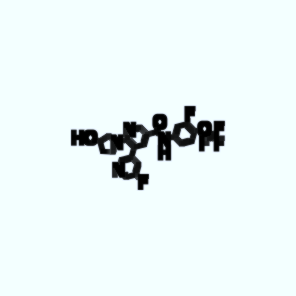 O=C(Nc1ccc(OC(F)(F)F)c(F)c1)c1cnc(N2CCC(O)C2)c(-c2cncc(F)c2)c1